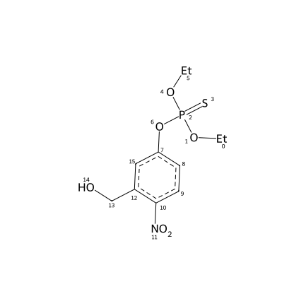 CCOP(=S)(OCC)Oc1ccc([N+](=O)[O-])c(CO)c1